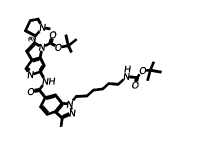 Cc1nn(CCCCCCNC(=O)OC(C)(C)C)c2cc(C(=O)Nc3cc4c(cn3)cc([C@H]3CCCN3C)n4C(=O)OC(C)(C)C)ccc12